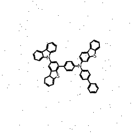 C1=CCC2C(=C1)Sc1c(-c3ccc(N(c4ccc(-c5ccccc5)cc4)c4ccc5c(c4)sc4ccccc45)cc3)cc(-n3c4ccccc4c4ccccc43)cc12